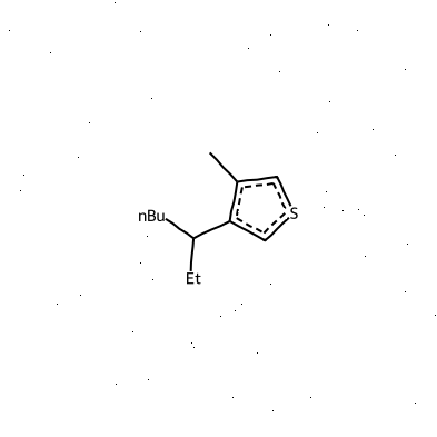 CCCCC(CC)c1cscc1C